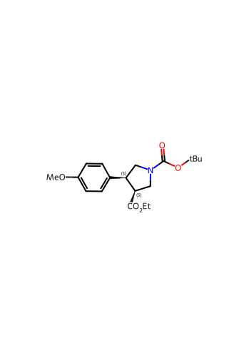 CCOC(=O)[C@@H]1CN(C(=O)OC(C)(C)C)C[C@@H]1c1ccc(OC)cc1